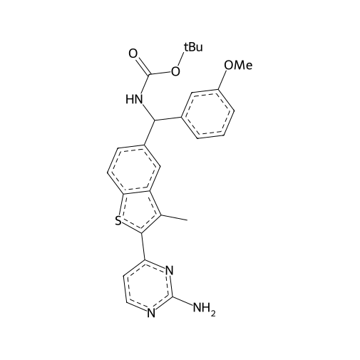 COc1cccc(C(NC(=O)OC(C)(C)C)c2ccc3sc(-c4ccnc(N)n4)c(C)c3c2)c1